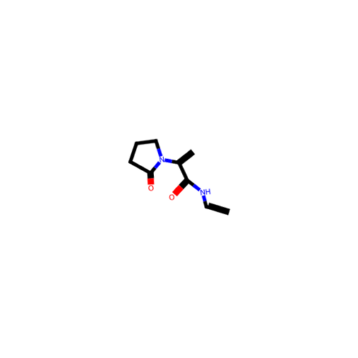 C=CNC(=O)C(=C)N1CCCC1=O